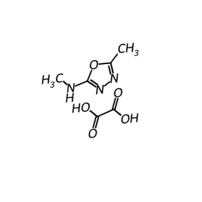 CNc1nnc(C)o1.O=C(O)C(=O)O